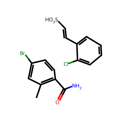 Cc1cc(Br)ccc1C(N)=O.O=S(=O)(O)C=Cc1ccccc1Cl